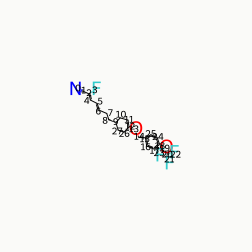 N#CC(F)=CC=CCC[C@H]1CC[C@H](OCc2ccc(OC(F)(F)F)cc2)CC1